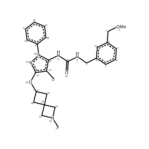 COCc1cccc(CNC(=O)Nc2c(C)c(OC3CC4(C3)CN(C)C4)nn2-c2ccccc2)c1